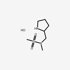 CN(CC1CCCN1)S(C)(=O)=O.Cl